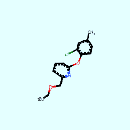 Cc1ccc(Oc2cccc(COCC(C)(C)C)n2)c(Cl)c1